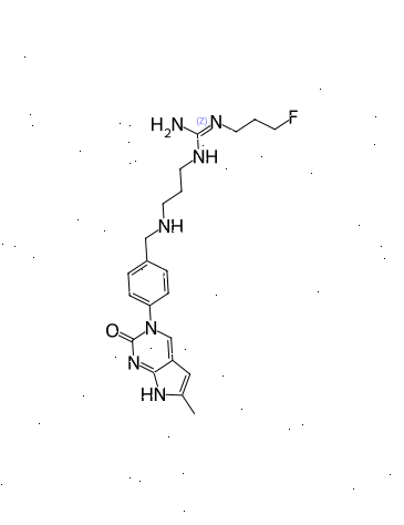 Cc1cc2cn(-c3ccc(CNCCCN/C(N)=N\CCCF)cc3)c(=O)nc2[nH]1